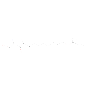 C=C(CCCCCC)OCCCCCCCCC(O)C(O)C(N)CO